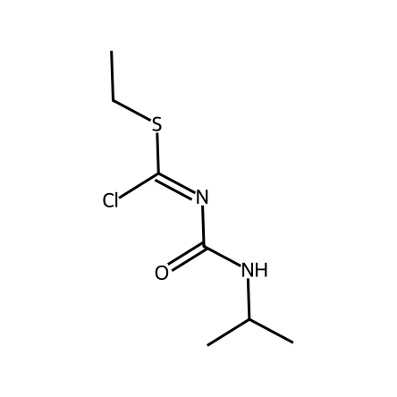 CCS/C(Cl)=N/C(=O)NC(C)C